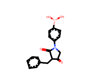 O=C1CN(c2ccc(B(O)O)cc2)C(=O)C1Cc1ccccc1